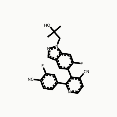 CC(C)(O)Cn1ncc2cc(-c3c(C#N)ccnc3-c3ccc(C#N)c(F)c3)c(F)cc21